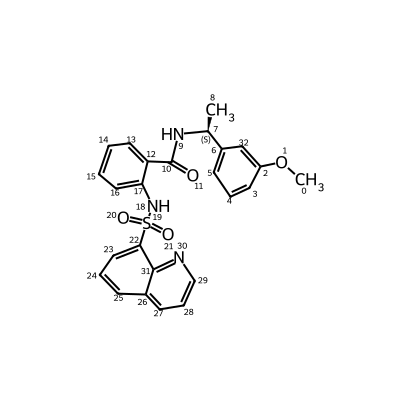 COc1cccc([C@H](C)NC(=O)c2ccccc2NS(=O)(=O)c2cccc3cccnc23)c1